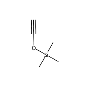 C#CO[Si](C)(C)C